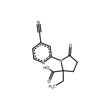 CCC1(C(=O)O)CCC(=O)N1c1cc(C#N)ccn1